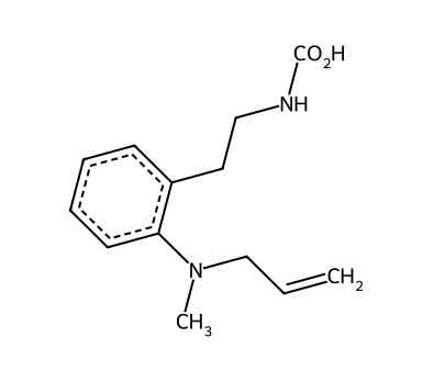 C=CCN(C)c1ccccc1CCNC(=O)O